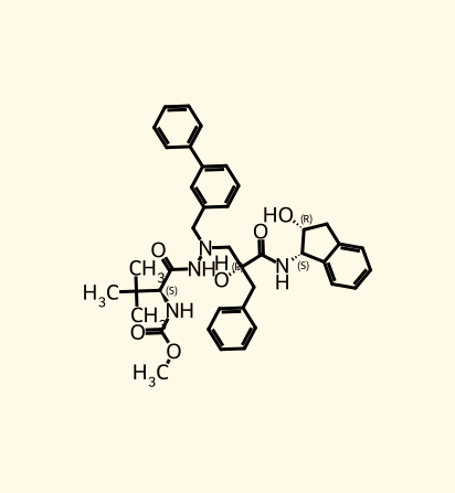 COC(=O)N[C@H](C(=O)NN(Cc1cccc(-c2ccccc2)c1)C[C@](O)(Cc1ccccc1)C(=O)N[C@H]1c2ccccc2C[C@H]1O)C(C)(C)C